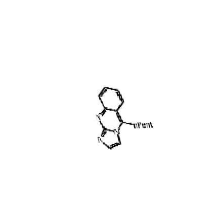 CCCCCc1c2ccccc2nc2nccn12